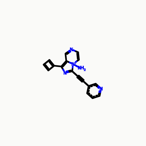 N[N+]12C=CN=CC1=C(C1=CC=C1)N=C2C#Cc1cccnc1